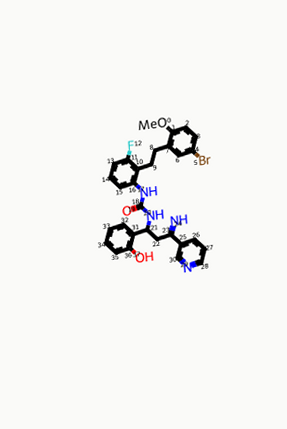 COc1ccc(Br)cc1CCc1c(F)cccc1NC(=O)NC(CC(=N)c1cccnc1)c1ccccc1O